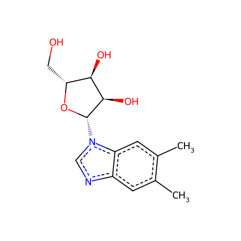 Cc1cc2ncn([C@@H]3O[C@H](CO)[C@@H](O)[C@H]3O)c2cc1C